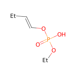 CCC=COP(=O)(O)OCC